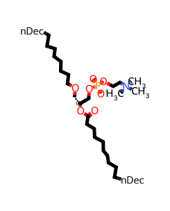 CCCCCCCCCCCCCCCCCCCC(=O)O[C@H](COCCCCCCCCCCCCCCCCCC)COP(=O)([O-])OCC[N+](C)(C)C